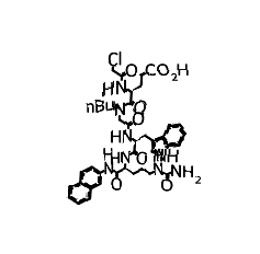 CCCCN(CC(=O)N[C@@H](Cc1c[nH]c2ccccc12)C(=O)N[C@@H](CCCNC(N)=O)C(=O)Nc1ccc2ccccc2c1)C(=O)[C@H](CCC(=O)O)NC(=O)CCl